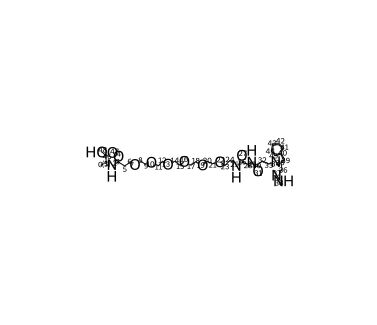 C[C@H](NC(=O)CCOCCOCCOCCOCCOCCOCCNC(=O)CNC(=O)CCn1c(CN=N)cc2ccccc21)C(=O)O